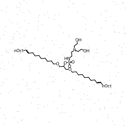 CCCCCCCCC=CCCCCCCCCOCC(COCCCCCCCCC=CCCCCCCCC)OS(=O)(=O)NCCN(CCO)CCO